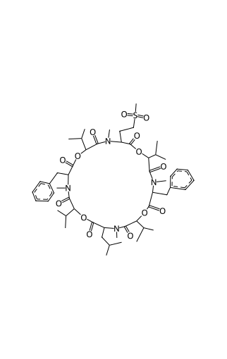 CC(C)CC1C(=O)OC(C(C)C)C(=O)N(C)C(Cc2ccccc2)C(=O)OC(C(C)C)C(=O)N(C)C(CCS(C)(=O)=O)C(=O)OC(C(C)C)C(=O)N(C)C(Cc2ccccc2)C(=O)OC(C(C)C)C(=O)N1C